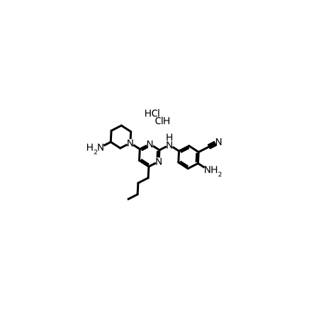 CCCCc1cc(N2CCCC(N)C2)nc(Nc2ccc(N)c(C#N)c2)n1.Cl.Cl